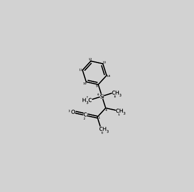 CC(=C=O)C(C)[Si](C)(C)c1ccccc1